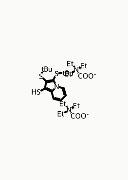 CC(C)(C)Sc1c(S)c2ccccn2c1SC(C)(C)C.CC[N+](CC)(CC)C(=O)[O-].CC[N+](CC)(CC)C(=O)[O-]